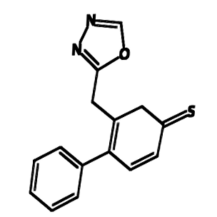 S=C1C=CC(c2ccccc2)=C(Cc2nnco2)C1